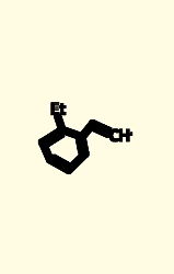 [CH]=Cc1ccccc1CC